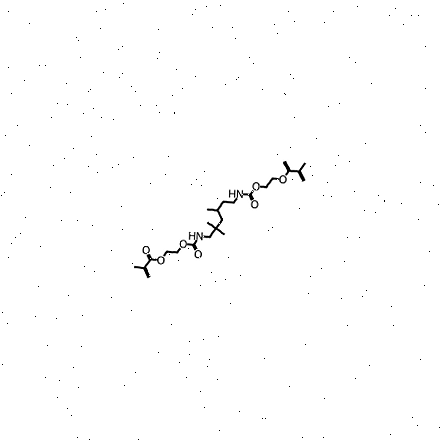 C=C(C)C(=C)OCCOC(=O)NCCC(C)CC(C)(C)CNC(=O)OCCOC(=O)C(=C)C